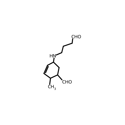 CC1C=CC(NCCCC=O)CC1C=O